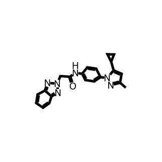 Cc1cc(C2CC2)n(-c2ccc(NC(=O)Cn3nc4ccccc4n3)cc2)n1